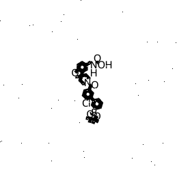 CC1(C)OB(c2cccc(-c3cc(C(=O)N4CCC5(CC4)COc4ccc(CNC(=O)O)cc45)ccc3Cl)c2)OC1(C)C